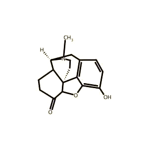 CN1CC[C@]23c4c5ccc(O)c4OC2C(=O)CCC3[C@H]1C5